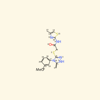 C=C1NN=C(SCC(=O)Nc2nc(C)cs2)N1c1cccc(OC)c1